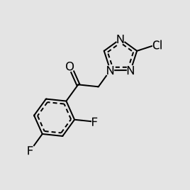 O=C(Cn1cnc(Cl)n1)c1ccc(F)cc1F